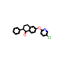 O=C1c2ccc(Oc3ccc(Cl)cn3)cc2CCC1c1ccccc1